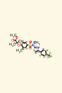 COC(=O)C(C)(C)Oc1ccc(S(=O)(=O)N(C)c2nc(-c3ccc(C(F)(F)F)cc3)cs2)cc1C